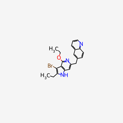 CCOc1nc(Cc2ccc3ncccc3c2)cc2[nH]c(CC)c(Br)c12